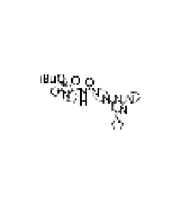 CC(C)CO[C@@H]1C(=O)N2CCCC2(CNC(=O)N2CCN(c3cc(N4CCCC4)nc(N4CCCC4)n3)CC2)C1=O